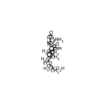 CC[C@H](CC[C@@]1(C)[C@H](C)CC[C@]2(C)[C@@H]1CC[C@@H]1C3=C(C(C)C)C(=O)C[C@]3(c3nnc(-c4ncc(Cl)cn4)n3CCN)CC[C@]12C)OC(=O)CC(C)(C)C(=O)O